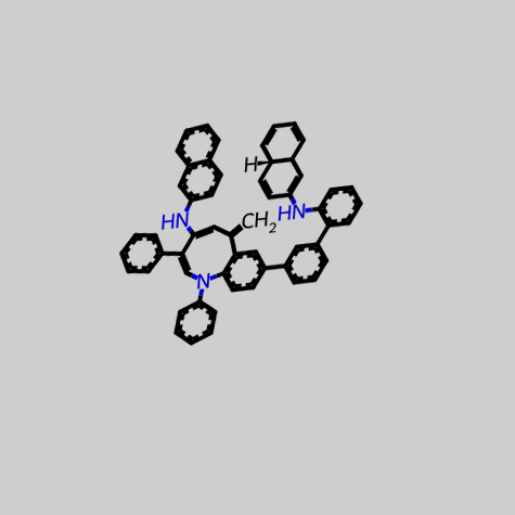 C=C1/C=C(Nc2ccc3ccccc3c2)\C(c2ccccc2)=C/N(c2ccccc2)c2ccc(-c3cccc(-c4ccccc4NC4=CC5C=CC=C[C@H]5C=C4)c3)cc21